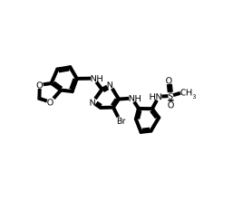 CS(=O)(=O)Nc1ccccc1Nc1nc(Nc2ccc3c(c2)OCO3)ncc1Br